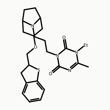 CCn1c(C)nc(=O)n(CCCN2C3CCC2CC(OCC2Cc4ccccc4S2)C3)c1=O